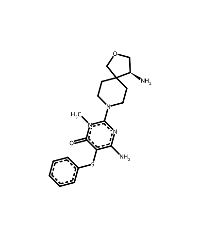 Cn1c(N2CCC3(CC2)COC[C@H]3N)nc(N)c(Sc2ccccc2)c1=O